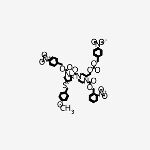 COc1ccc(CS[C@H]2C[C@@H](C(=O)N3CCN(C(=O)OCc4ccccc4[N+](=O)[O-])C(COC(=O)OCc4ccc([N+](=O)[O-])cc4)C3)N(C(=O)OCc3ccc([N+](=O)[O-])cc3)C2)cc1